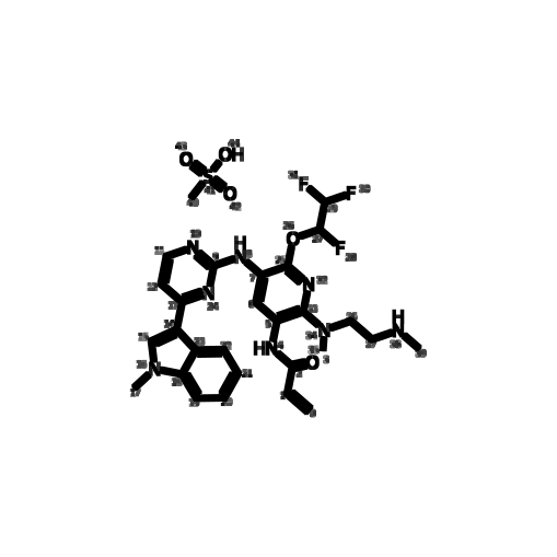 C=CC(=O)Nc1cc(Nc2nccc(-c3cn(C)c4ccccc34)n2)c(OC(F)C(F)F)nc1N(C)CCNC.CS(=O)(=O)O